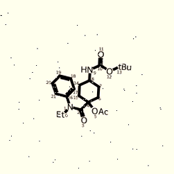 CCN(C(=O)C1(OC(C)=O)CCC(NC(=O)OC(C)(C)C)CC1)c1ccccc1